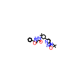 Cn1c(=O)n(CC(C)(C)C)c2ccc(C3CCC(C)(C)C(NC(=O)c4coc(-c5ccccc5)n4)C3)nc21